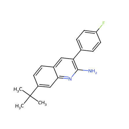 CC(C)(C)c1ccc2cc(-c3ccc(F)cc3)c(N)nc2c1